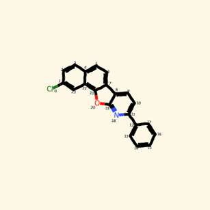 Clc1ccc2ccc3c4ccc(-c5ccccc5)nc4oc3c2c1